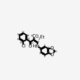 CCOC(=O)C(=CNc1ccc2c(c1)OCO2)C(=O)c1ccccc1Cl